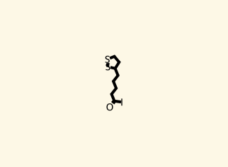 O=C(I)CCCCC1CCSS1